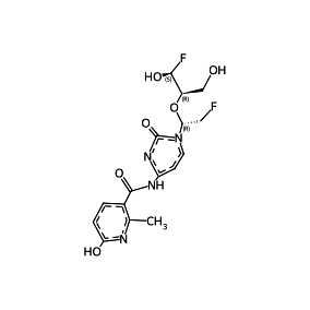 Cc1nc(O)ccc1C(=O)Nc1ccn([C@@H](CF)O[C@H](CO)[C@@H](O)F)c(=O)n1